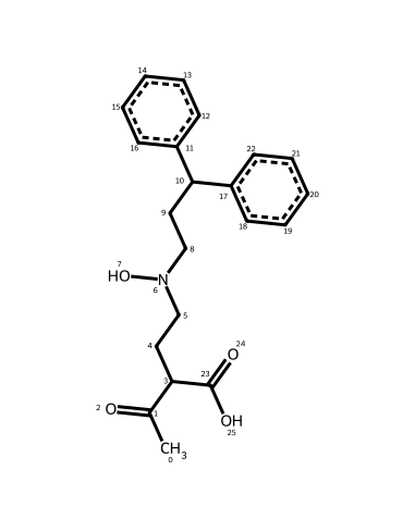 CC(=O)C(CCN(O)CCC(c1ccccc1)c1ccccc1)C(=O)O